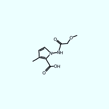 COCC(=O)Nn1ccc(C)c1C(=O)O